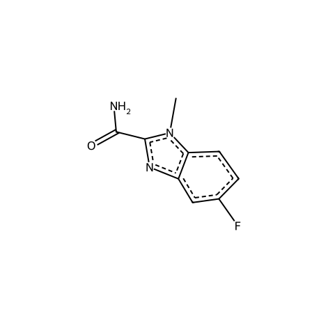 Cn1c(C(N)=O)nc2cc(F)ccc21